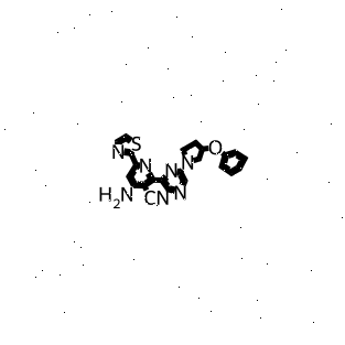 N#Cc1c(N)cc(-c2nccs2)nc1-c1cncc(N2CCC(Oc3ccccc3)C2)n1